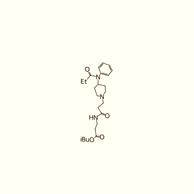 CCC(=O)N(c1ccccc1)C1CCN(CCC(=O)NCCC(=O)OCC(C)C)CC1